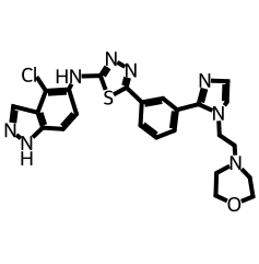 Clc1c(Nc2nnc(-c3cccc(-c4nccn4CCN4CCOCC4)c3)s2)ccc2[nH]ncc12